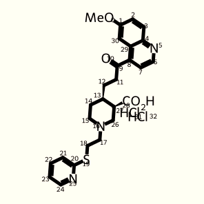 COc1ccc2nccc(C(=O)CC[C@@H]3CCN(CCSc4ccccn4)C[C@@H]3C(=O)O)c2c1.Cl.Cl